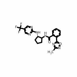 Cc1noc(-c2ccccc2C(=O)NC2CCC[C@@H]2Nc2ncc(C(F)(F)F)cn2)n1